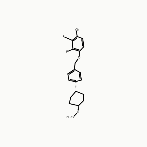 CCCCCCO[C@H]1CC[C@H](c2ccc(COc3ccc(C#N)c(F)c3F)cc2)CC1